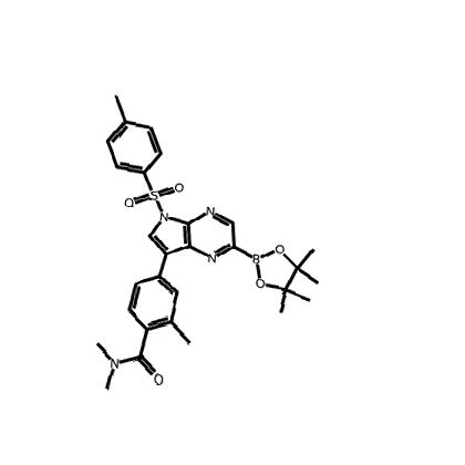 Cc1ccc(S(=O)(=O)n2cc(-c3ccc(C(=O)N(C)C)c(C)c3)c3nc(B4OC(C)(C)C(C)(C)O4)cnc32)cc1